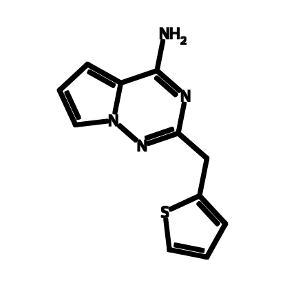 Nc1nc(Cc2cccs2)nn2cccc12